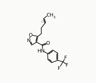 C/C=C/CCc1oncc1C(=O)Nc1ccc(C(F)(F)F)cc1